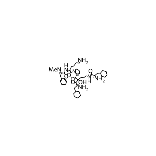 CN[C@@H](Cc1ccccc1)C(=O)N[C@@H](CCCCN)C(=O)N1CCC[C@H]1C(=O)C(O)(CCCNC(=O)[C@@H](N)CC1CCCCC1)C(=O)[C@H](N)CC1CCCCC1